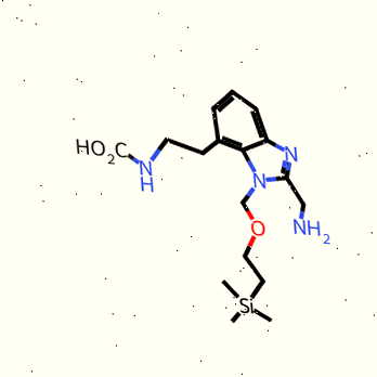 C[Si](C)(C)CCOCn1c(CN)nc2cccc(CCNC(=O)O)c21